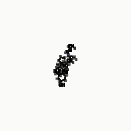 CO/N=C(\C)[C@H]1CC[C@H]2[C@@H]3CC=C4C[C@@H](O)CC[C@]4(C)[C@H]3CC[C@]12C